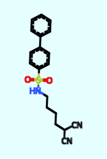 N#CC(C#N)CCCCNS(=O)(=O)c1ccc(-c2ccccc2)cc1